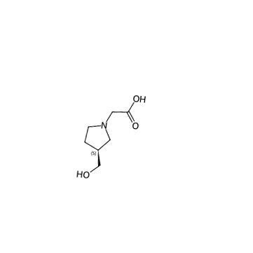 O=C(O)CN1CC[C@H](CO)C1